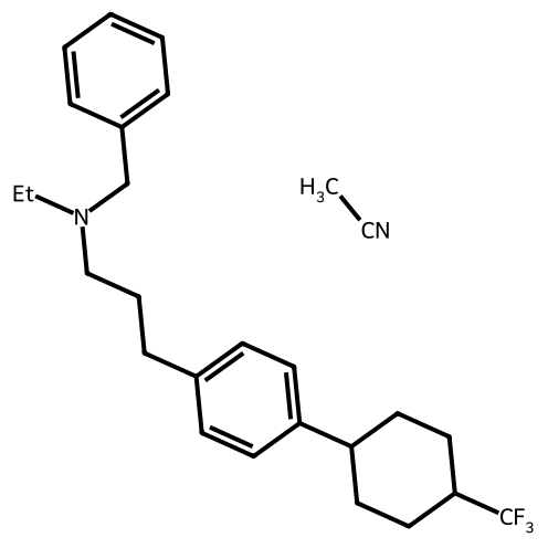 CC#N.CCN(CCCc1ccc(C2CCC(C(F)(F)F)CC2)cc1)Cc1ccccc1